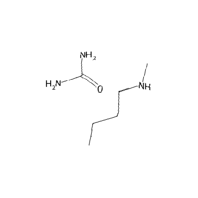 CCCCNC.NC(N)=O